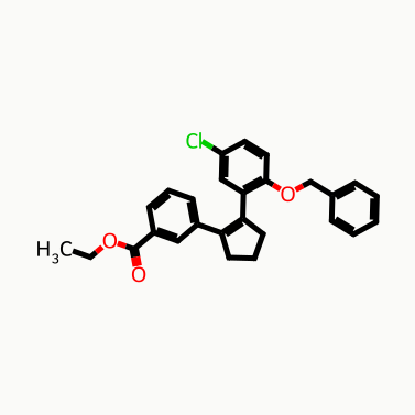 CCOC(=O)c1cccc(C2=C(c3cc(Cl)ccc3OCc3ccccc3)CCC2)c1